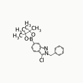 CC1(C)OB(c2ccc3c(Cl)n(Cc4ccccc4)nc3c2)OC1(C)C